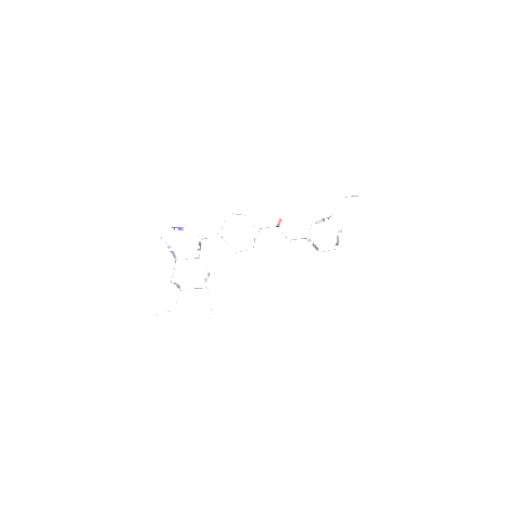 CCc1cccc(NC(=O)N2CCN(c3ncnc4cc(OC)c(OC)cc34)CC2)c1